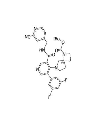 CC(C)(C)OC(=O)N1CC[C@@]12CCN(c1c(C(=O)NCc3ccnc(C#N)c3)cncc1-c1cc(F)cc(F)c1)C2